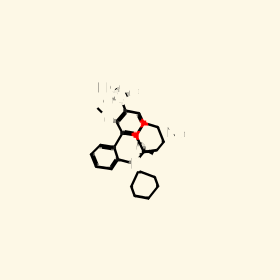 COc1ccc(S(=O)(=O)O)c(OC)c1-c1ccccc1P(C1CCCCC1)C1CCCCC1.[Na]